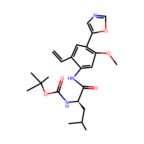 C=Cc1cc(-c2cnco2)c(OC)cc1NC(=O)[C@@H](CC(C)C)NC(=O)OC(C)(C)C